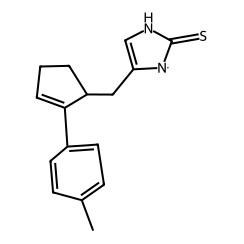 Cc1ccc(C2=CCCC2CC2=CNC(=S)[N]2)cc1